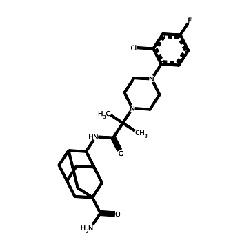 CC(C)(C(=O)NC1C2CC3CC1CC(C(N)=O)(C3)C2)N1CCN(c2ccc(F)cc2Cl)CC1